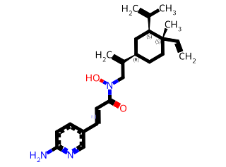 C=C[C@]1(C)CC[C@@H](C(=C)CN(O)C(=O)/C=C/c2ccc(N)nc2)C[C@H]1C(=C)C